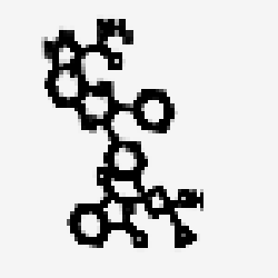 NC(=O)c1nnc2ccc3nc(-c4ccc(C5(N6C(=O)c7ccccc7C6=O)CC(O)(C6CC6)C5)cc4)c(-c4ccccc4)nc3n12